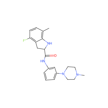 Cc1ccc(F)c2c1NC(C(=O)Nc1cccc(N3CCN(C)CC3)c1)C2